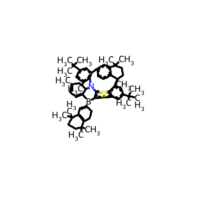 CC1=CC=C2B(C3=CC4=C(CC3)C(C)(C)CCC4(C)C)c3c4sc5c(cc(C(C)(C)C)cc35)C3(C)CCC(C)(C)c5cc(ccc53)-c3cc(C(C)(C)C)cc(C)c3N4C2C1